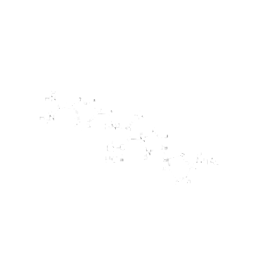 CCOC(C(=O)NCc1ccc(C(=N)N)cc1)n1ccc(-c2cccc(NC(C)=O)c2)n1.Cl